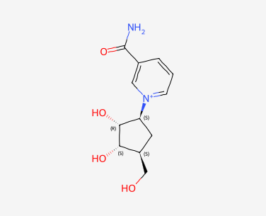 NC(=O)c1ccc[n+]([C@H]2C[C@@H](CO)[C@H](O)[C@@H]2O)c1